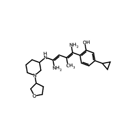 CC(/C=C(\N)NC1CCCN(C2CCOC2)C1)=C(/N)c1ccc(C2CC2)cc1O